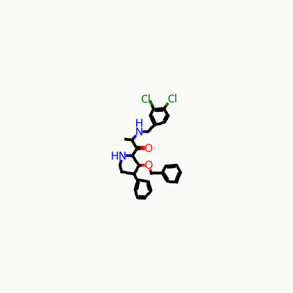 CC(NCc1ccc(Cl)c(Cl)c1)C(=O)C1NCCC(c2ccccc2)C1OCc1ccccc1